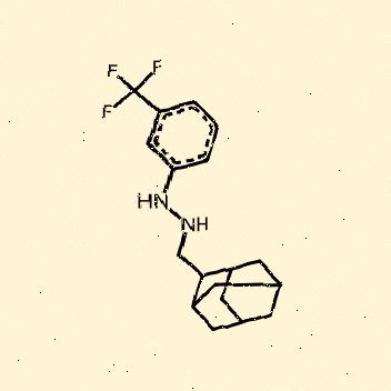 FC(F)(F)c1cccc(NNCC2C3CC4CC(C3)CC2C4)c1